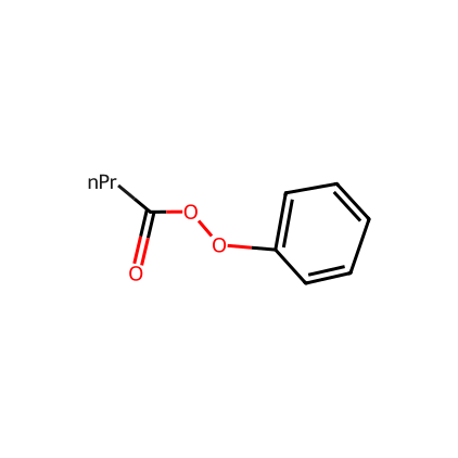 CCCC(=O)OOc1ccccc1